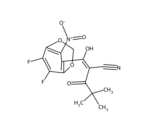 CC(C)(C)C(=O)C(C#N)=C(O)c1c2c(F)c(F)c(c1[N+](=O)[O-])OCO2